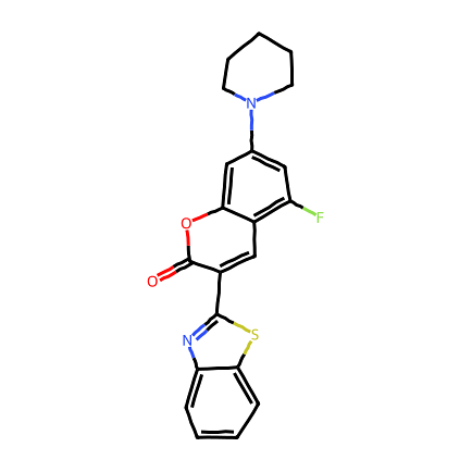 O=c1oc2cc(N3CCCCC3)cc(F)c2cc1-c1nc2ccccc2s1